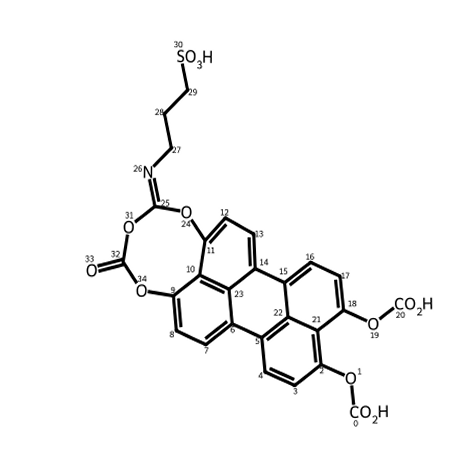 O=C(O)Oc1ccc2c3ccc4c5c(ccc(c6ccc(OC(=O)O)c1c26)c53)OC(=NCCCS(=O)(=O)O)OC(=O)O4